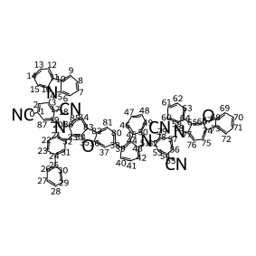 N#Cc1cc(-n2c3ccccc3c3ccccc32)c(C#N)c(-n2c3ccc(-c4ccccc4)cc3c3c4oc5cc(-c6cccc7c6c6ccccc6n7-c6cc(C#N)cc(-n7c8ccccc8c8c9oc%10ccccc%10c9ccc87)c6C#N)ccc5c4ccc32)c1